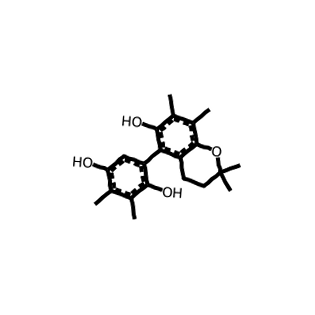 Cc1c(O)cc(-c2c(O)c(C)c(C)c3c2CCC(C)(C)O3)c(O)c1C